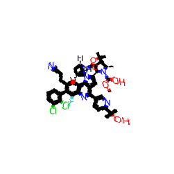 COC(O)N1[C@H](C)CC[C@@H]1c1cc2c(-c3ccc(C(C)(C)O)nc3)nc3c(F)c(-c4cccc(Cl)c4Cl)c(CCC#N)cc3c2n1[C@H]1[C@@H]2C[C@H]1N(C(=O)OC(C)(C)C)C2